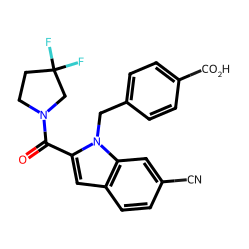 N#Cc1ccc2cc(C(=O)N3CCC(F)(F)C3)n(Cc3ccc(C(=O)O)cc3)c2c1